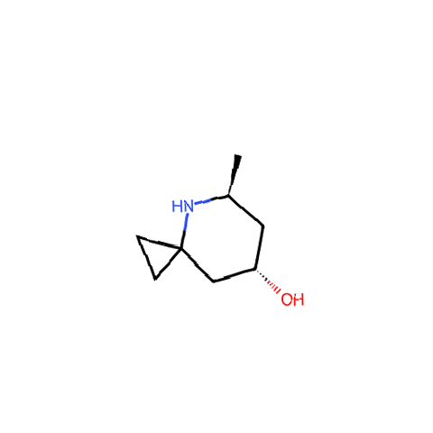 C[C@H]1C[C@H](O)CC2(CC2)N1